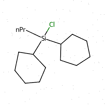 CCC[Si](Cl)(C1CCCCC1)C1CCCCC1